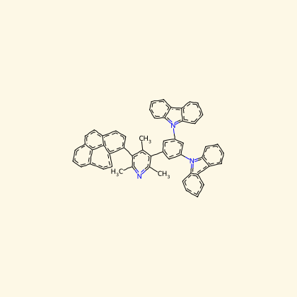 Cc1nc(C)c(-c2ccc3ccc4cccc5ccc2c3c45)c(C)c1-c1cc(-n2c3ccccc3c3ccccc32)cc(-n2c3ccccc3c3ccccc32)c1